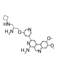 COc1cc2ncc3c(N)nc(-c4cncc(OC[C@@H](N)CNC5CCC5)c4)cc3c2cc1OC